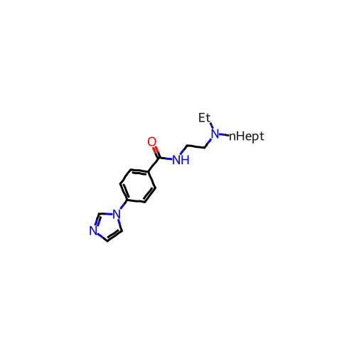 CCCCCCCN(CC)CCNC(=O)c1ccc(-n2ccnc2)cc1